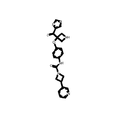 O=C(Nc1ccc(OC2(C(=O)c3cncs3)CNC2)cc1)N1CC(c2cccnc2)C1